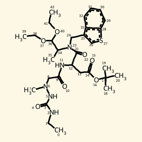 CCNC(=O)NN(C)CC(=O)NC(CC(=O)OC(C)(C)C)C(=O)N(Cc1csc2ccccc12)C(C)C(OCC)OCC